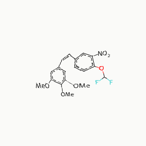 COc1cc(/C=C\c2ccc(OC(F)F)c([N+](=O)[O-])c2)cc(OC)c1OC